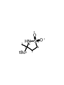 CC(C)(C)C1(C)CCS(=O)(=O)N1